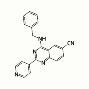 N#Cc1ccc2nc(-c3ccncc3)nc(NCc3ccccc3)c2c1